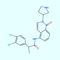 CC(C(=O)Nc1cccc2c(=O)n(C3CCNC3)ccc12)c1ccc(Cl)c(Cl)c1